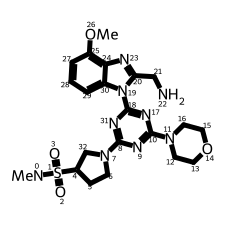 CNS(=O)(=O)C1CCN(c2nc(N3CCOCC3)nc(-n3c(CN)nc4c(OC)cccc43)n2)C1